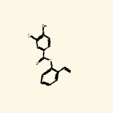 C=Cc1ccccc1OC(=O)c1ccc(O)c(Cl)c1